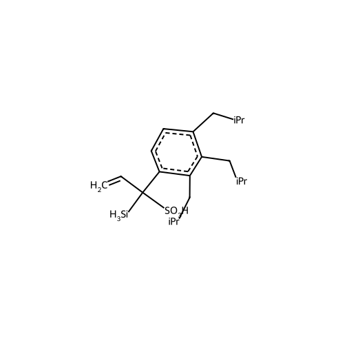 C=CC([SiH3])(c1ccc(CC(C)C)c(CC(C)C)c1CC(C)C)S(=O)(=O)O